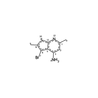 Cc1cc(N)c2c(Br)c(C)sc2n1